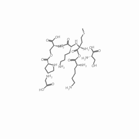 CSCC[C@@](N)(N[C@@H](CCCCN)C(=O)O)C(=O)OC(=O)[C@@H](N)CCCCN.NCC(=O)O.N[C@@H](CO)C(=O)O.N[C@@H](COC(=O)[C@@H]1CCCN1)C(=O)O